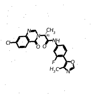 Cc1ncoc1-c1ccc(NC(=O)[C@@H](C)n2cnc3cc(Cl)ccc3c2=O)cc1F